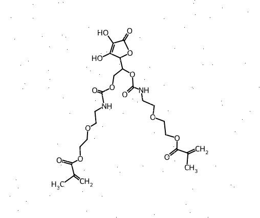 C=C(C)C(=O)OCCOCCNC(=O)OCC(OC(=O)NCCOCCOC(=O)C(=C)C)C1OC(=O)C(O)=C1O